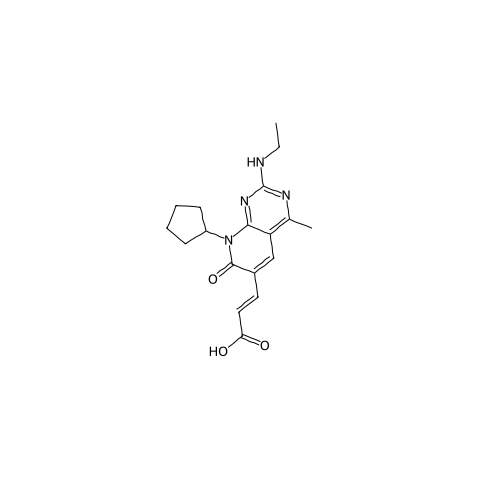 CCNc1nc(C)c2cc(C=CC(=O)O)c(=O)n(C3CCCC3)c2n1